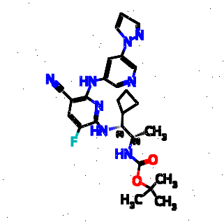 C[C@H](NC(=O)OC(C)(C)C)[C@H](Nc1nc(Nc2cncc(-n3cccn3)c2)c(C#N)cc1F)C1CCC1